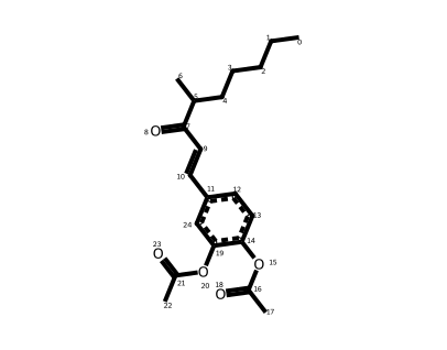 CCCCCC(C)C(=O)C=Cc1ccc(OC(C)=O)c(OC(C)=O)c1